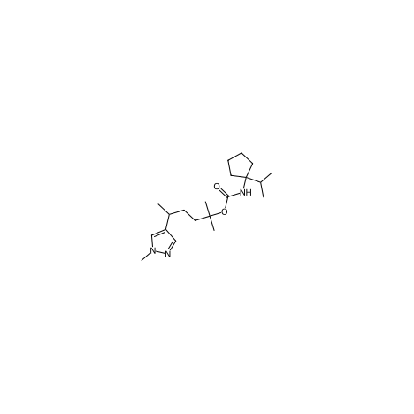 CC(CCC(C)(C)OC(=O)NC1(C(C)C)CCCC1)c1cnn(C)c1